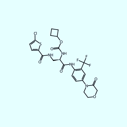 O=C(N[C@H](CNC(=O)c1ccc(Cl)s1)C(=O)Nc1ccc(N2CCOCC2=O)cc1C(F)(F)F)OC1CCC1